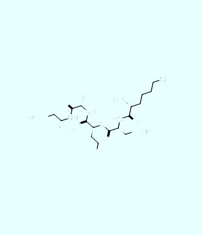 CC(C)[C@H](NC(=O)[C@H](CCC(=O)O)NC(=O)[C@H](CC(=O)O)NC(=O)[C@@H](N)CCCCN)C(=O)N[C@@H](CC(=O)O)C(=O)O